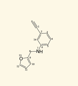 C#Cc1cccc(NCc2ccco2)c1